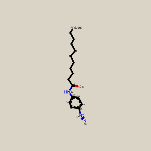 CCCCCCCCCCCCCCCCCCCC(=O)Nc1ccc([N+]#N)cc1